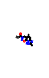 Cc1nc2cc(C)c(CNC(=O)C(C)C)c(=O)n2[nH]1